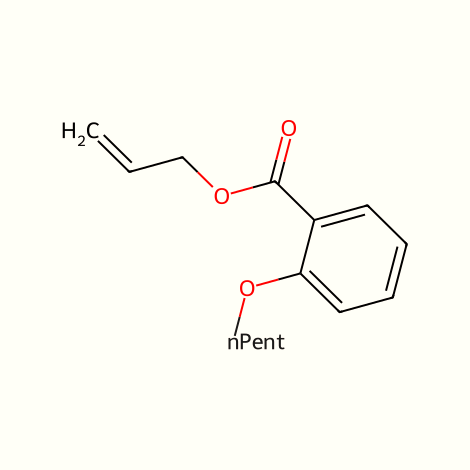 C=CCOC(=O)c1ccccc1OCCCCC